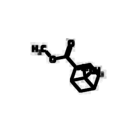 COC(=O)C1=CCC2CC1C2(C)C